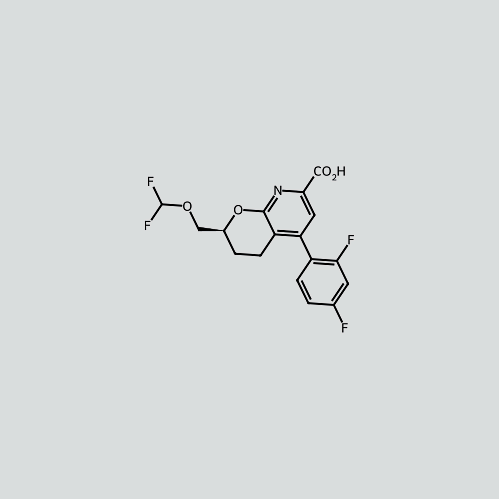 O=C(O)c1cc(-c2ccc(F)cc2F)c2c(n1)O[C@H](COC(F)F)CC2